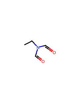 CCN(C=O)C=O